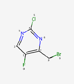 Fc1cnc(Cl)nc1CBr